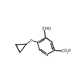 O=Cc1cc(C(=O)O)ncc1OC1CC1